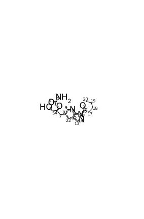 NC(=O)OC(CO)Cc1cnc2c(cnn2C2CCCCO2)c1